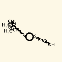 CN(C)C(=O)C(CCCCCCCSC1CCCCCC(SCCOCCOCCO)CCCC1)C(=O)N(C)C